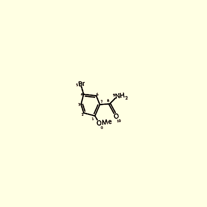 COc1ccc(Br)cc1C(N)=O